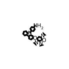 Nc1ccc(-n2c3ccccc3c3ccccc32)cc1.O=C1C=C(N2CC2)C(=O)C(N2CC2)=C1N1CC1